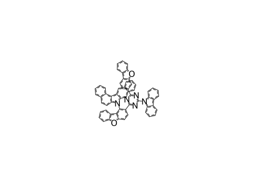 c1ccc2cc3c(cc2c1)c1c2ccccc2ccc1n3-c1c(-c2nc(-c3ccc4c(c3)oc3ccccc34)nc(-n3c4ccccc4c4ccccc43)n2)ccc2oc3ccccc3c12